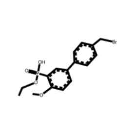 CCOP(=O)(O)c1cc(-c2ccc(CBr)cc2)ccc1OC